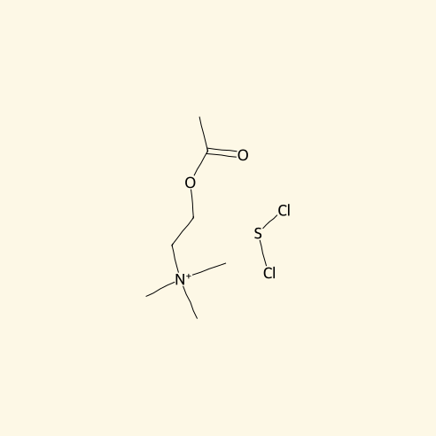 CC(=O)OCC[N+](C)(C)C.ClSCl